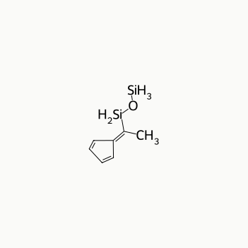 CC([SiH2]O[SiH3])=C1C=CC=C1